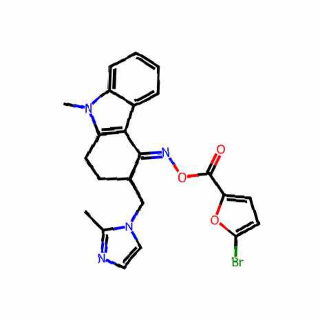 Cc1nccn1CC1CCc2c(c3ccccc3n2C)/C1=N/OC(=O)c1ccc(Br)o1